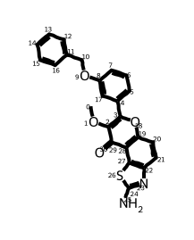 COc1c(-c2cccc(OCc3ccccc3)c2)oc2ccc3nc(N)sc3c2c1=O